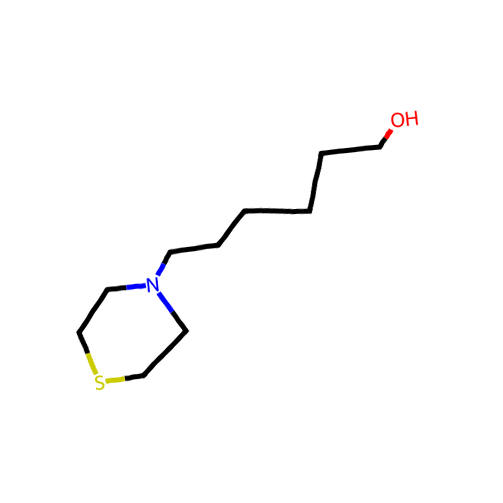 OCCCCCCN1CCSCC1